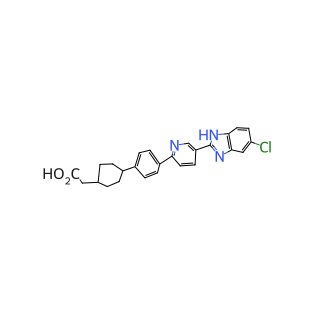 O=C(O)CC1CCC(c2ccc(-c3ccc(-c4nc5cc(Cl)ccc5[nH]4)cn3)cc2)CC1